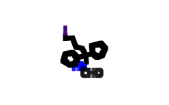 O=CNCC(CCCCI)(c1ccccc1)c1ccccc1